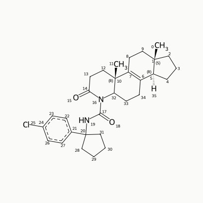 C[C@@]12CCC[C@H]1C1=C(CC2)[C@@]2(C)CCC(=O)N(C(=O)NC3(c4ccc(Cl)cc4)CCCC3)C2CC1